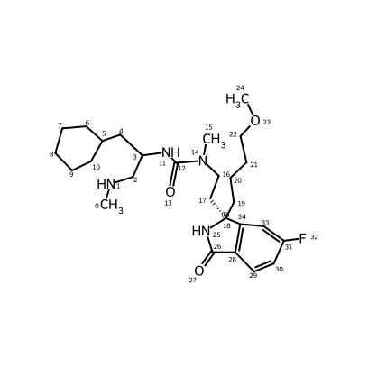 CNCC(CC1CCCCC1)NC(=O)N(C)CC[C@@]1(CCCCOC)NC(=O)c2ccc(F)cc21